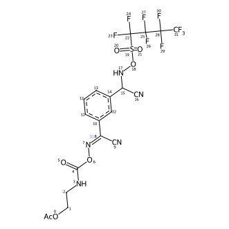 CC(=O)OCCNC(=O)O/N=C(\C#N)c1cccc(C(C#N)NOS(=O)(=O)C(F)(F)C(F)(F)C(F)(F)C(F)(F)F)c1